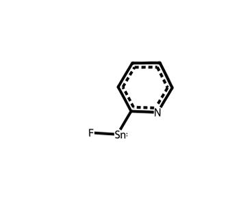 [F][Sn][c]1ccccn1